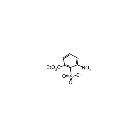 CCOC(=O)c1cccc([N+](=O)[O-])c1S(=O)(=O)Cl